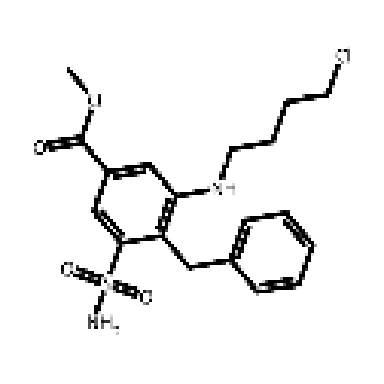 COC(=O)c1cc(NCCCCCl)c(Cc2ccccc2)c(S(N)(=O)=O)c1